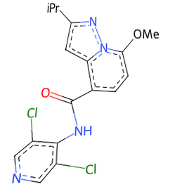 COc1ccc(C(=O)Nc2c(Cl)cncc2Cl)c2cc(C(C)C)nn12